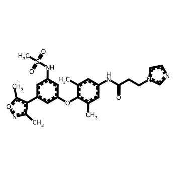 Cc1cc(NC(=O)CCn2ccnc2)cc(C)c1Oc1cc(NS(C)(=O)=O)cc(-c2c(C)noc2C)c1